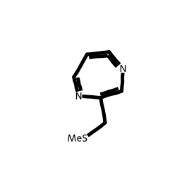 CSCC1=CN=C=CC=N1